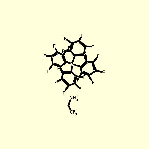 Fc1c(F)c(F)c([B-](c2c(F)c(F)c(F)c(F)c2F)(c2c(F)c(F)c(F)c(F)c2F)c2c(F)c(F)c(F)c(F)c2F)c(F)c1F.[NH3+]CC(F)(F)F